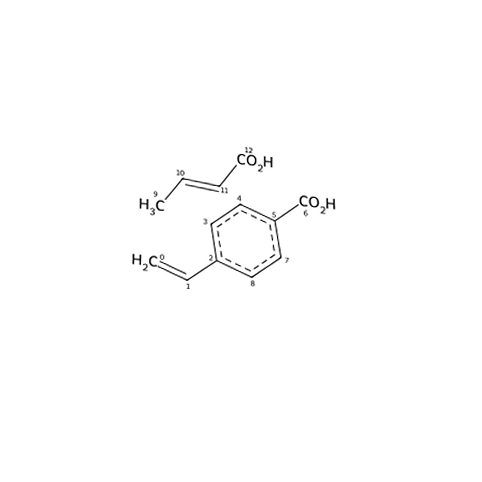 C=Cc1ccc(C(=O)O)cc1.CC=CC(=O)O